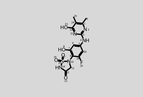 Cc1nc(Nc2cc(O)c(N3CC(=O)NS3(=O)=O)c(F)c2)nc(O)c1C